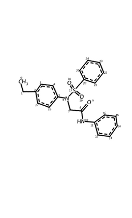 CCc1ccc(N(CC(=O)Nc2ccccc2)S(=O)(=O)c2ccccc2)cc1